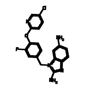 Nc1ccc2nc(N)n(Cc3ccc(Oc4ccc(Cl)cn4)c(F)c3)c2c1